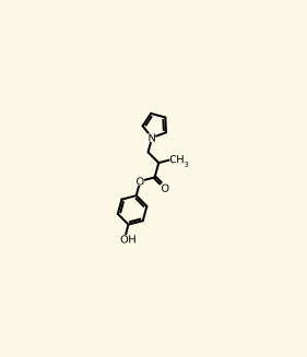 CC(Cn1cccc1)C(=O)Oc1ccc(O)cc1